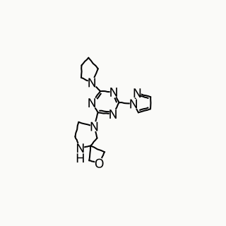 c1cnn(-c2nc(N3CCCC3)nc(N3CCNC4(COC4)C3)n2)c1